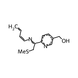 C=C/C=C\N=C(/CSC)c1ccc(CO)cn1